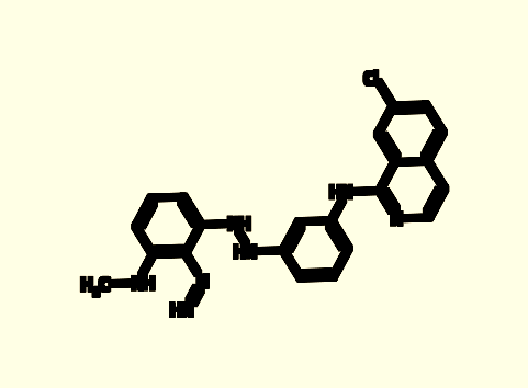 CNc1cccc(NNc2cccc(Nc3nccc4ccc(Cl)cc34)c2)c1N=N